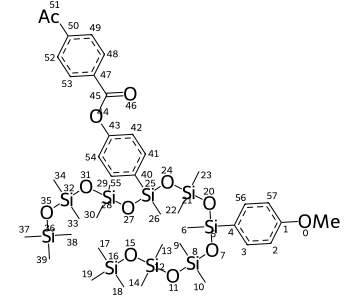 COc1ccc([Si](C)(O[Si](C)(C)O[Si](C)(C)O[Si](C)(C)C)O[Si](C)(C)O[Si](C)(O[Si](C)(C)O[Si](C)(C)O[Si](C)(C)C)c2ccc(OC(=O)c3ccc(C(C)=O)cc3)cc2)cc1